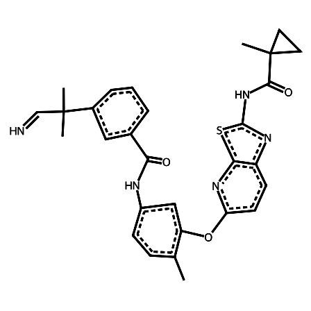 Cc1ccc(NC(=O)c2cccc(C(C)(C)C=N)c2)cc1Oc1ccc2nc(NC(=O)C3(C)CC3)sc2n1